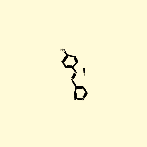 CI.Oc1ccc(N=Nc2ccncc2)cc1